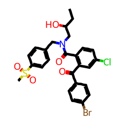 CCC(O)CN(Cc1ccc(S(C)(=O)=O)cc1)C(=O)c1ccc(Cl)cc1C(=O)c1ccc(Br)cc1